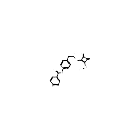 CCCNc1c(N[C@@H](Cc2ccc(NC(=O)c3ccc(C(F)(F)F)cc3)cc2)C(=O)O)c(=O)c1=O